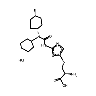 C[C@H]1CC[C@H](N(C(=O)Nc2ncc(SC[C@@H](N)C(=O)O)s2)C2CCCCC2)CC1.Cl